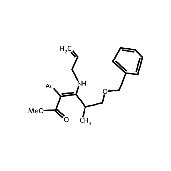 C=CCNC(=C(C(C)=O)C(=O)OC)C(C)COCc1ccccc1